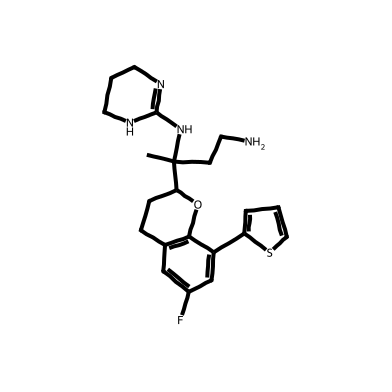 CC(CCN)(NC1=NCCCN1)C1CCc2cc(F)cc(-c3cccs3)c2O1